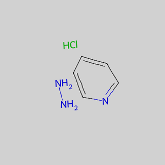 Cl.NN.c1ccncc1